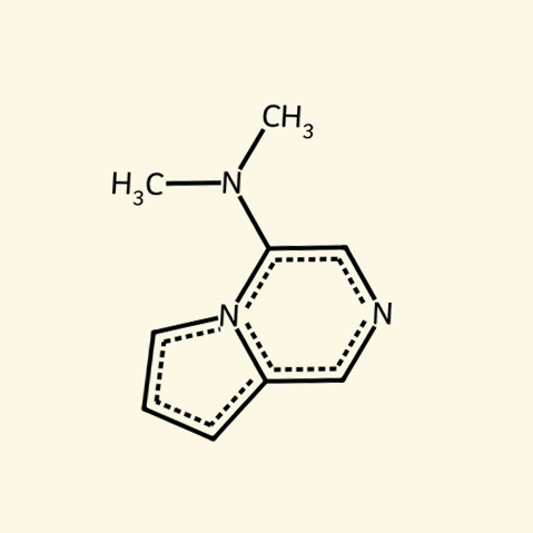 CN(C)c1cncc2cccn12